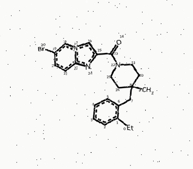 CCc1ccccc1CC1(C)CCN(C(=O)c2cn3cc(Br)ccc3n2)CC1